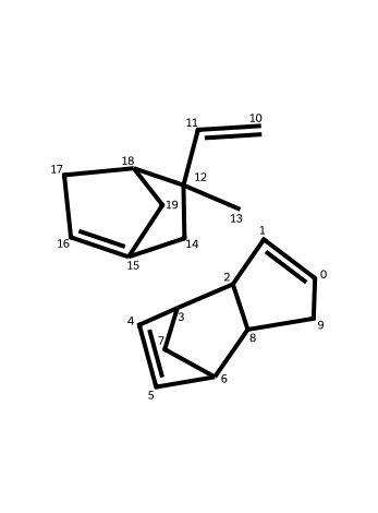 C1=CC2C3C=CC(C3)C2C1.C=CC1(C)CC2=CCC1C2